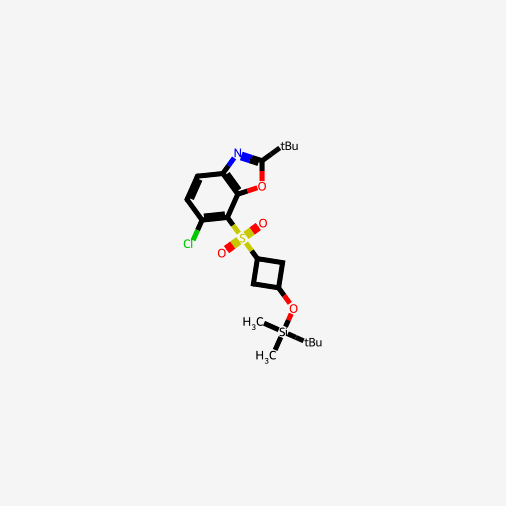 CC(C)(C)c1nc2ccc(Cl)c(S(=O)(=O)C3CC(O[Si](C)(C)C(C)(C)C)C3)c2o1